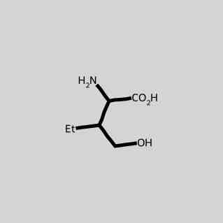 CCC(CO)C(N)C(=O)O